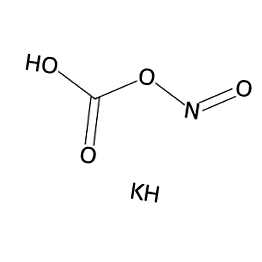 O=NOC(=O)O.[KH]